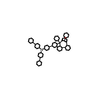 c1ccc(-c2ccc(N(c3ccc(-c4ccccc4)cc3)c3ccc(-c4ccc(C5(c6ccccc6)c6ccccc6-c6ccccc6-c6cccc5c6-c5ccccc5)cc4)cc3)cc2)cc1